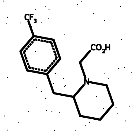 O=C(O)CN1CCCCC1Cc1ccc(C(F)(F)F)cc1